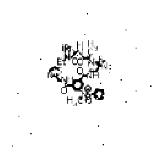 CCNC(=O)[C@@H](NC(=O)[C@H](C)NC[C@H](Cc1cscn1)NC(=O)c1cc(C(=O)NCc2nccs2)cc(N(C)S(=O)(=O)c2ccccc2)c1)C(C)C